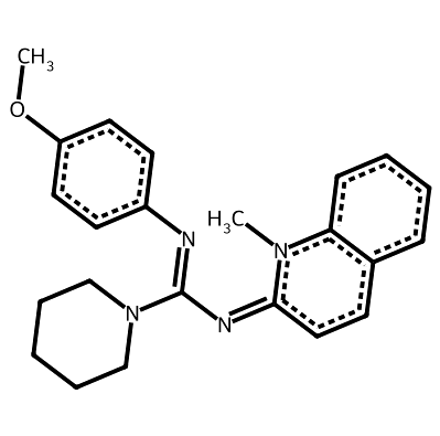 COc1ccc(N=C(N=c2ccc3ccccc3n2C)N2CCCCC2)cc1